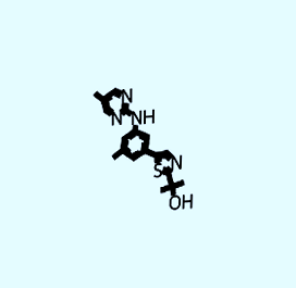 Cc1cnc(Nc2cc(C)cc(-c3cnc(C(C)(C)O)s3)c2)nc1